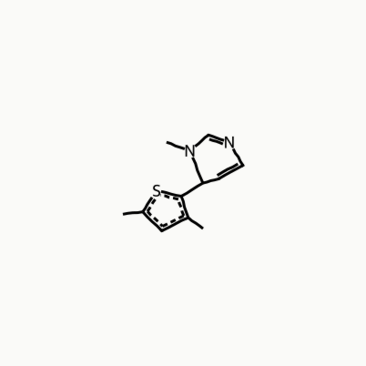 Cc1cc(C)c(C2C=CN=CN2C)s1